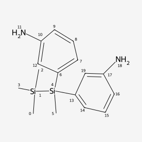 C[Si](C)(C)[Si](C)(c1cccc(N)c1)c1cccc(N)c1